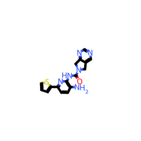 Nc1ccc(-c2cccs2)nc1NC(=O)N1Cc2cncnc2C1